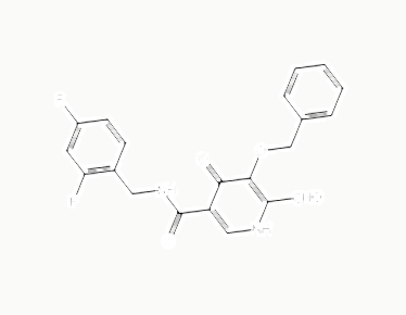 O=Cc1[nH]cc(C(=O)NCc2ccc(F)cc2F)c(=O)c1OCc1ccccc1